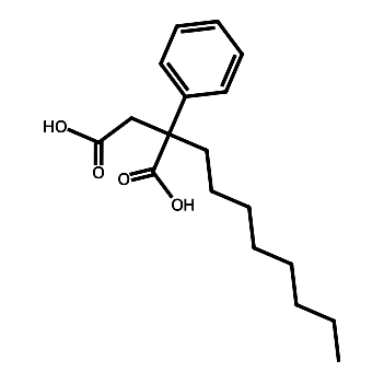 CCCCCCCCC(CC(=O)O)(C(=O)O)c1ccccc1